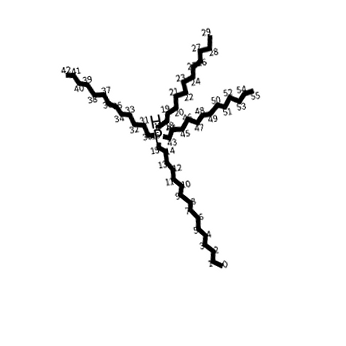 CCCCCCCCCCCCCCCC[PH](CCCCCCCCCCCCC)(CCCCCCCCCCCCC)CCCCCCCCCCCCC